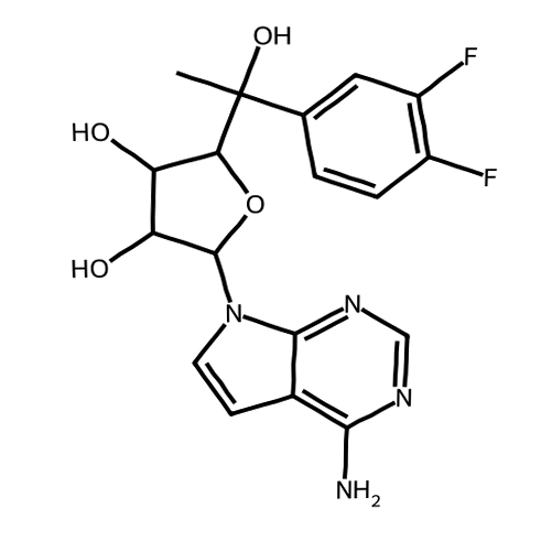 CC(O)(c1ccc(F)c(F)c1)C1OC(n2ccc3c(N)ncnc32)C(O)C1O